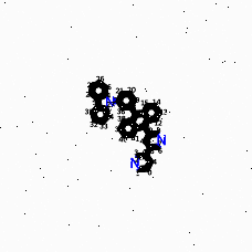 c1cncc(-c2cncc(-c3c4ccccc4c(-c4cccc(-n5c6ccccc6c6ccccc65)c4)c4ccccc34)c2)c1